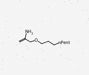 C=C(N)COCCCCCCCC